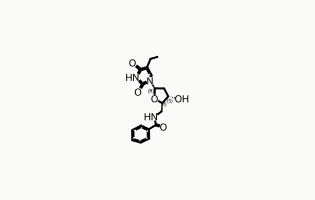 CCc1cn([C@H]2C[C@H](O)[C@@H](CNC(=O)c3ccccc3)O2)c(=O)[nH]c1=O